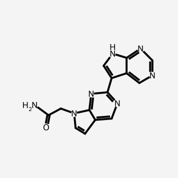 NC(=O)Cn1ccc2cnc(-c3c[nH]c4ncncc34)nc21